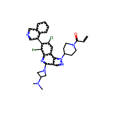 C=CC(=O)N1CCC(n2ncc3c(N4CC(N(C)C)C4)nc4c(F)c(-c5cncc6ccccc56)c(Cl)cc4c32)CC1